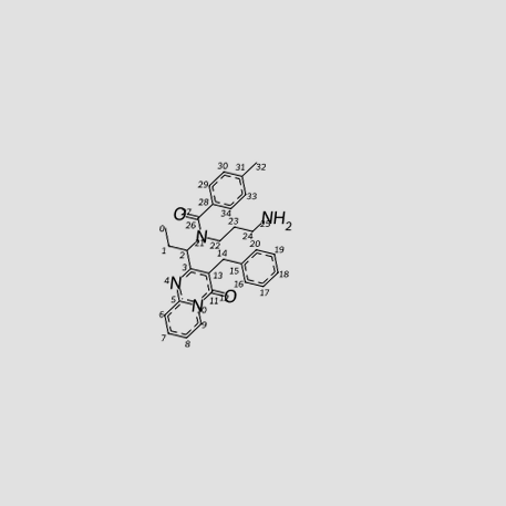 CCC(c1nc2ccccn2c(=O)c1Cc1ccccc1)N(CCCN)C(=O)c1ccc(C)cc1